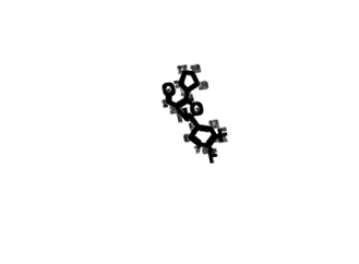 O=Cc1nc(-c2ccc(F)c(F)c2)oc1C1CCCC1